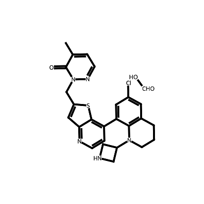 Cc1ccnn(Cc2cc3nccc(-c4cc(Cl)cc5c4N(C4CNC4)CCC5)c3s2)c1=O.O=CO